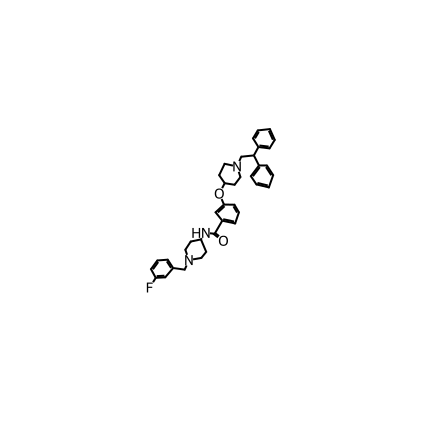 O=C(NC1CCN(Cc2cccc(F)c2)CC1)c1cccc(OC2CCN(CC(c3ccccc3)c3ccccc3)CC2)c1